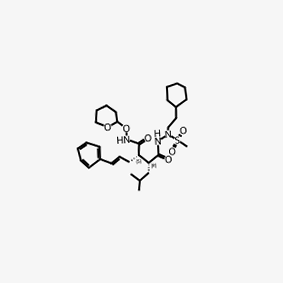 CC(C)C[C@@H](C(=O)NN(CCC1CCCCC1)S(C)(=O)=O)[C@H](CC=Cc1ccccc1)C(=O)NOC1CCCCO1